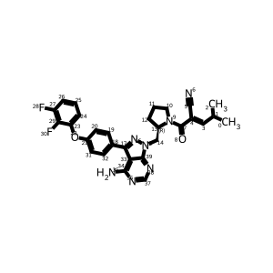 CC(C)C=C(C#N)C(=O)N1CCC[C@@H]1Cn1nc(-c2ccc(Oc3cccc(F)c3F)cc2)c2c(N)ncnc21